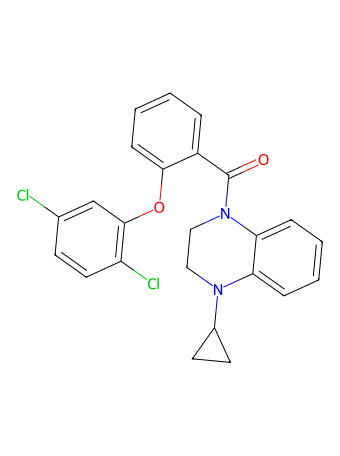 O=C(c1ccccc1Oc1cc(Cl)ccc1Cl)N1CCN(C2CC2)c2ccccc21